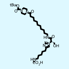 CC(C)(C)OC(=O)N1CCN(C(=O)CCCCCCCCCCNC(=O)[C@H](CO)n2cc(CCCCCNC(=O)O)nn2)CC1